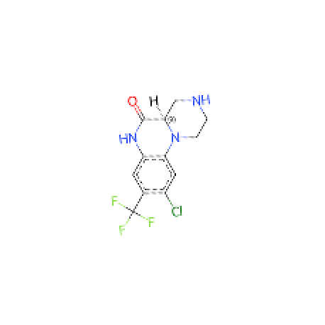 O=C1Nc2cc(C(F)(F)F)c(Cl)cc2N2CCNC[C@H]12